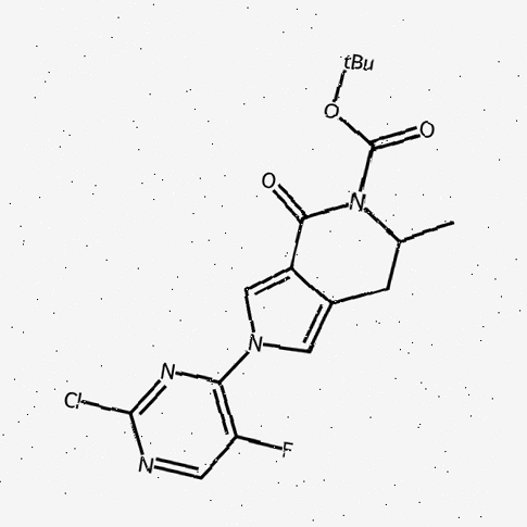 CC1Cc2cn(-c3nc(Cl)ncc3F)cc2C(=O)N1C(=O)OC(C)(C)C